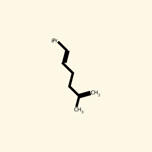 C=C(C)CC/[C]=C/C(C)C